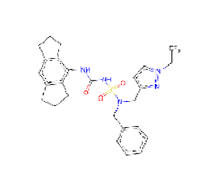 O=C(Nc1c2c(cc3c1CCC3)CCC2)NS(=O)(=O)N(Cc1ccccc1)Cc1ccn(CC(F)(F)F)n1